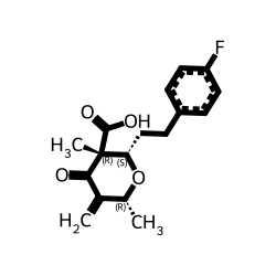 C=C1C(=O)[C@](C)(C(=O)O)[C@H](CCc2ccc(F)cc2)O[C@@H]1C